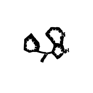 CN(c1ccccc1)c1c[nH]c2ncccc12